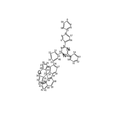 c1ccc(-c2ccc(-c3cc(-c4cccc(-c5ccc6c(c5)C5(c7ccccc7Oc7ccccc75)c5c-6ccc6ccccc56)c4)nc(-c4ccccc4)n3)cc2)cc1